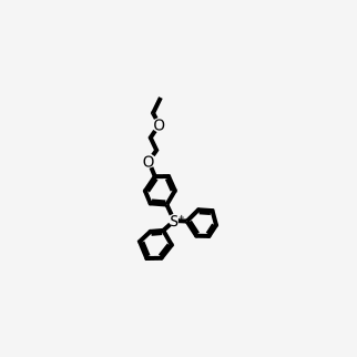 CCOCCOc1ccc([S+](c2ccccc2)c2ccccc2)cc1